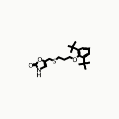 CC(C)(C)c1cccc(C(C)(C)C)c1OCCCSCc1c[nH]c(=O)o1